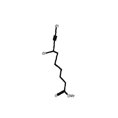 CCC#CC(CC)CCCCCC(=O)OC